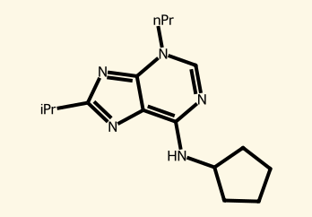 CCCn1cnc(NC2CCCC2)c2nc(C(C)C)nc1-2